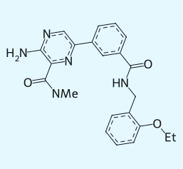 CCOc1ccccc1CNC(=O)c1cccc(-c2cnc(N)c(C(=O)NC)n2)c1